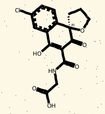 O=C(O)CNC(=O)C1=C(O)c2cc(Cl)ccc2[C@]2(CCCO2)C1=O